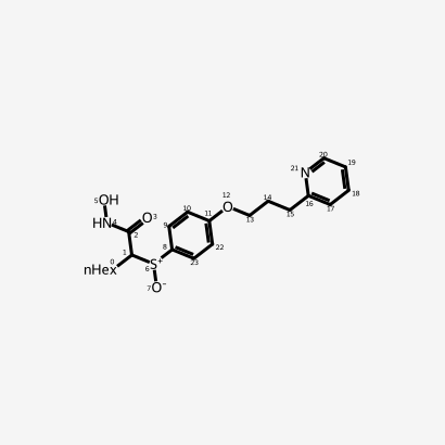 CCCCCCC(C(=O)NO)[S+]([O-])c1ccc(OCCCc2ccccn2)cc1